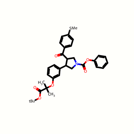 CSc1ccc(C(=O)C2CN(C(=O)Oc3ccccc3)CC2c2cccc(OC(C)(C)C(=O)OC(C)(C)C)c2)cc1